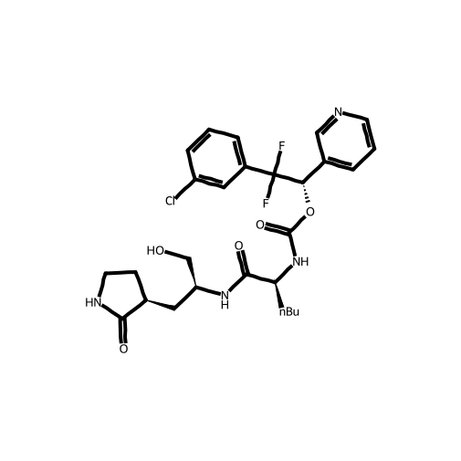 CCCC[C@H](NC(=O)O[C@@H](c1cccnc1)C(F)(F)c1cccc(Cl)c1)C(=O)N[C@H](CO)C[C@@H]1CCNC1=O